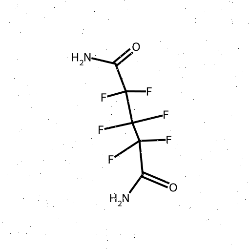 NC(=O)C(F)(F)C(F)(F)C(F)(F)C(N)=O